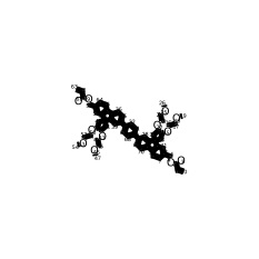 C=CC(=O)OCc1ccc2c(c1)C(CCOCCOC)(CCOCCOC)c1cc(-c3ccc(-c4ccc5c(c4)C(CCOCCOC)(CCOCCOC)c4cc(COC(=O)C=C)ccc4-5)cc3)ccc1-2